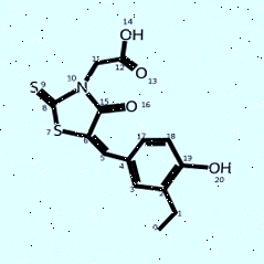 CCc1cc(C=C2SC(=S)N(CC(=O)O)C2=O)ccc1O